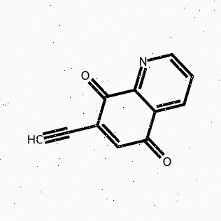 C#CC1=CC(=O)c2cccnc2C1=O